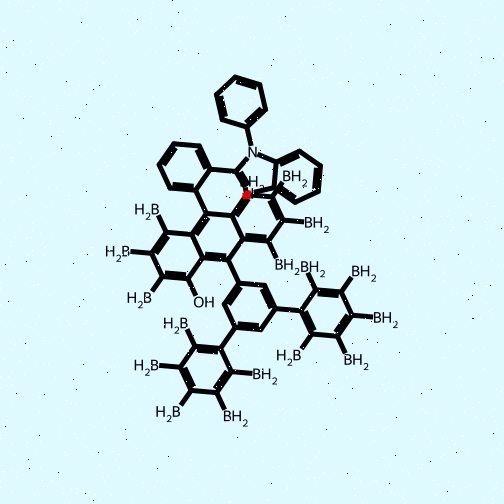 Bc1c(B)c(B)c(-c2cc(-c3c(B)c(B)c(B)c(B)c3B)cc(-c3c4c(B)c(B)c(B)c(B)c4c(-c4ccccc4-c4nc5ccccc5n4-c4ccccc4)c4c(B)c(B)c(B)c(O)c34)c2)c(B)c1B